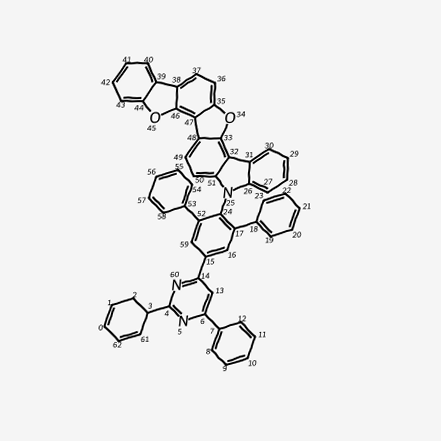 C1=CCC(c2nc(-c3ccccc3)cc(-c3cc(-c4ccccc4)c(-n4c5ccccc5c5c6oc7ccc8c9ccccc9oc8c7c6ccc54)c(-c4ccccc4)c3)n2)C=C1